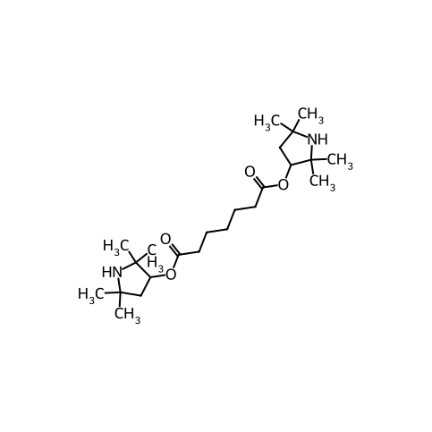 CC1(C)CC(OC(=O)CCCCCC(=O)OC2CC(C)(C)NC2(C)C)C(C)(C)N1